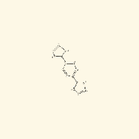 C1=CSC(c2ccc(C3SC=CS3)cc2)S1